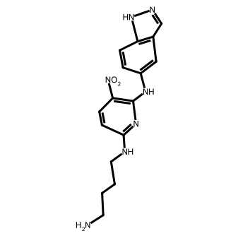 NCCCCNc1ccc([N+](=O)[O-])c(Nc2ccc3[nH]ncc3c2)n1